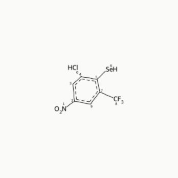 Cl.O=[N+]([O-])c1ccc([SeH])c(C(F)(F)F)c1